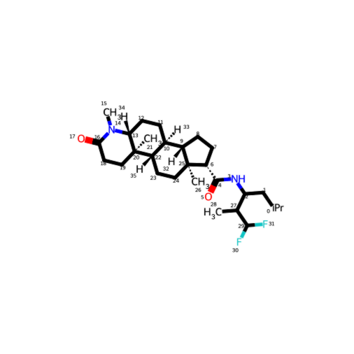 CC(C)CC(NC(=O)[C@H]1CC[C@H]2[C@@H]3CC[C@H]4N(C)C(=O)CC[C@]4(C)[C@H]3CC[C@]12C)C(C)C(F)F